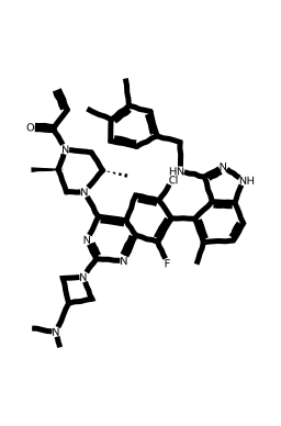 C=CC(=O)N1C[C@H](C)N(c2nc(N3CC(N(C)C)C3)nc3c(F)c(-c4c(C)ccc5[nH]nc(NCc6ccc(C)c(C)c6)c45)c(Cl)cc23)C[C@H]1C